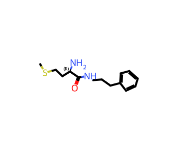 CSCC[C@@H](N)C(=O)NCCCc1ccccc1